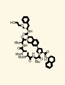 CN[C@@H](C)C(=O)N[C@H](C(=O)N1Cc2cc([C@H]3C[C@@H](C(=O)N[C@@H]4CCCc5ccccc54)N(C(=O)[C@@H](NC(=O)[C@H](C)NC)C(C)(C)C)C3)ccc2C[C@H]1C(=O)N[C@H](COCCO)Cc1ccccc1)C(C)(C)C